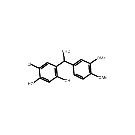 COc1ccc(C(C=O)c2cc(Cl)c(O)cc2O)cc1OC